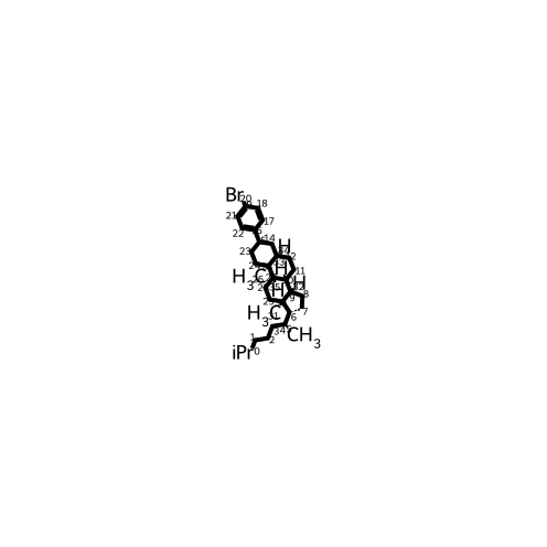 CC(C)CCC[C@@H](C)[C@H]1CC[C@H]2[C@@H]3CC[C@H]4CC(c5ccc(Br)cc5)CC[C@]4(C)[C@H]3CC[C@]12C